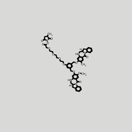 COc1cc2c(cc1OCc1cc(COc3cc4c(cc3C)C(=O)N3c5ccccc5C[C@H]3CN4)cc(OCCOCCOCCOCC(=O)ON3C(=O)CC(C)C3=O)c1)NC[C@@H]1Cc3ccccc3N1C2=O